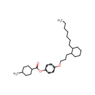 CCCCCCCC1CCCCC1CCCOc1ccc(OC(=O)C2CCC(C)CC2)cc1